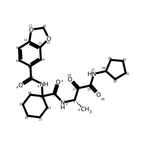 C[C@H](NC(=O)C1(NC(=O)c2ccc3c(c2)OCO3)CCCCC1)C(=O)C(=O)NC1CCCC1